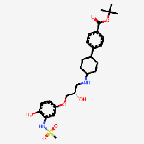 CC(C)(C)OC(=O)c1ccc(C2CCC(NC[C@H](O)COc3ccc(O)c(NS(C)(=O)=O)c3)CC2)cc1